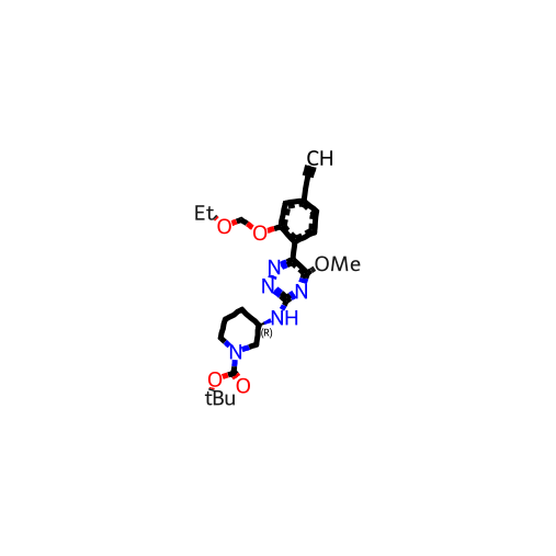 C#Cc1ccc(-c2nnc(N[C@@H]3CCCN(C(=O)OC(C)(C)C)C3)nc2OC)c(OCOCC)c1